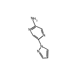 Nc1cnc(-n2cccn2)cn1